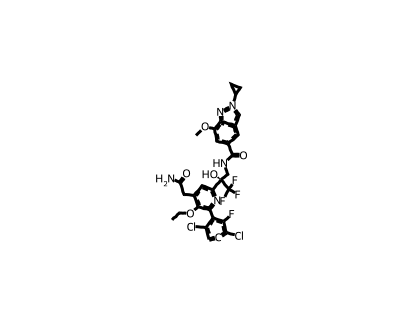 CCOc1c(CC(N)=O)cc([C@@](O)(CNC(=O)c2cc(OC)c3nn(C4CC4)cc3c2)C(F)(F)F)nc1-c1c(Cl)ccc(Cl)c1F